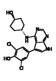 Oc1c(Cl)cc(-c2c[nH]c3ncnc(N[C@H]4CC[C@H](O)CC4)c23)cc1Cl